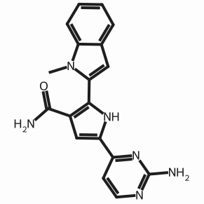 Cn1c(-c2[nH]c(-c3ccnc(N)n3)cc2C(N)=O)cc2ccccc21